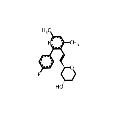 Cc1cc(C)c(/C=C/[C@@H]2C[C@@H](O)CCO2)c(-c2ccc(F)cc2)n1